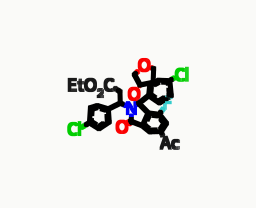 CCOC(=O)CC(c1ccc(Cl)cc1)N1C(=O)c2cc(C(C)=O)cc(F)c2[C@]1(O[C@H]1CCOC1)c1ccc(Cl)cc1